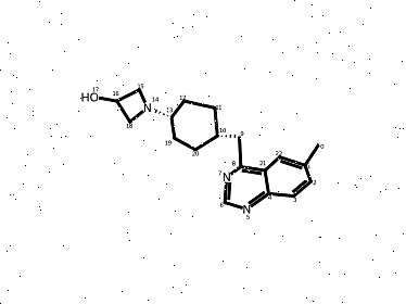 Cc1ccc2ncnc(C[C@H]3CC[C@@H](N4CC(O)C4)CC3)c2c1